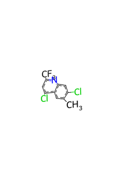 Cc1cc2c(Cl)cc(C(F)(F)F)nc2cc1Cl